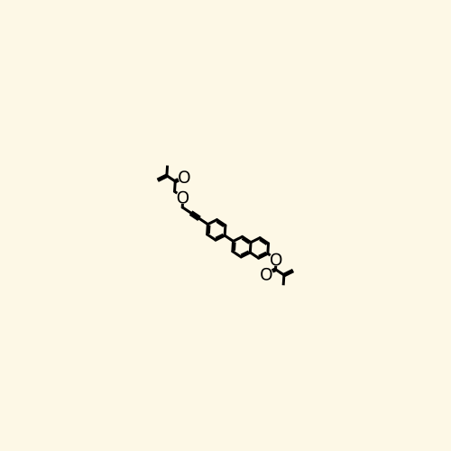 C=C(C)C(=O)COCC#Cc1ccc(-c2ccc3cc(OC(=O)C(=C)C)ccc3c2)cc1